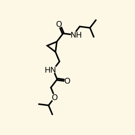 CC(C)CNC(=O)C1CC1CNC(=O)COC(C)C